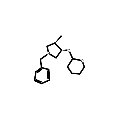 C[C@@H]1CN(Cc2ccccc2)C[C@@H]1OC1CCCCO1